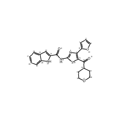 O=C(Nc1nc(-c2ccco2)c(C(=O)C2CCOCC2)s1)c1cc2ccccc2[nH]1